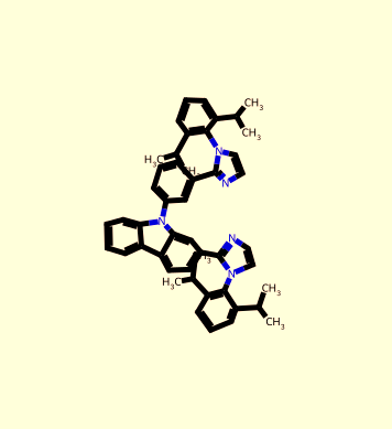 CC(C)c1cccc(C(C)C)c1-n1ccnc1-c1cccc(-n2c3ccccc3c3ccc(-c4nccn4-c4c(C(C)C)cccc4C(C)C)cc32)c1